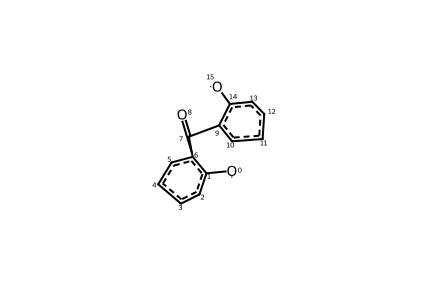 [O]c1ccccc1C(=O)c1ccccc1[O]